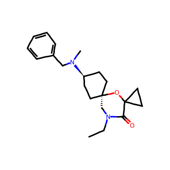 CCN1C[C@]2(CC[C@H](N(C)Cc3ccccc3)CC2)OC2(CC2)C1=O